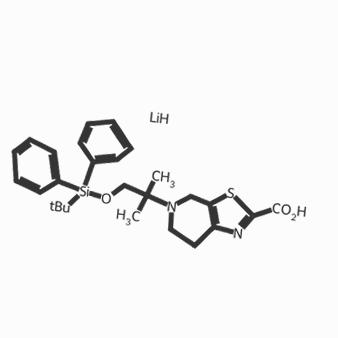 CC(C)(CO[Si](c1ccccc1)(c1ccccc1)C(C)(C)C)N1CCc2nc(C(=O)O)sc2C1.[LiH]